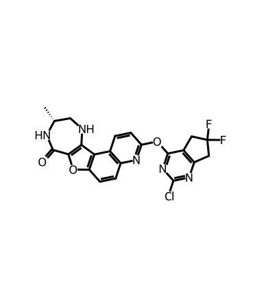 C[C@@H]1CNc2c(oc3ccc4nc(Oc5nc(Cl)nc6c5CC(F)(F)C6)ccc4c23)C(=O)N1